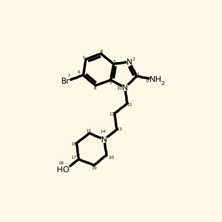 Nc1nc2ccc(Br)cc2n1CCCN1CCC(O)CC1